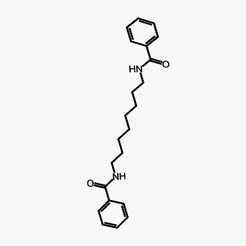 O=C(NCCCCCCCCNC(=O)c1ccccc1)c1ccccc1